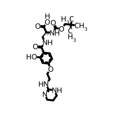 CC(C)(C)COC(=O)N[C@@H](CNC(=O)c1ccc(OCCNC2=NCCCN2)cc1O)C(=O)O